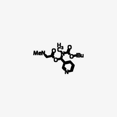 CCC(C)OC(=O)N(C)C(OC(=O)CNC)c1cccnc1